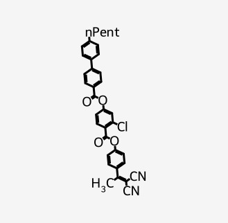 CCCCCc1ccc(-c2ccc(C(=O)Oc3ccc(C(=O)Oc4ccc(C(C)=C(C#N)C#N)cc4)c(Cl)c3)cc2)cc1